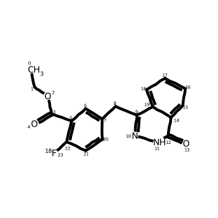 CCOC(=O)c1cc(Cc2n[nH]c(=O)c3ccccc23)ccc1[18F]